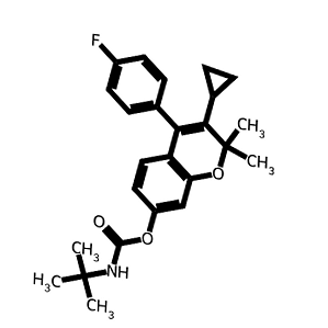 CC(C)(C)NC(=O)Oc1ccc2c(c1)OC(C)(C)C(C1CC1)=C2c1ccc(F)cc1